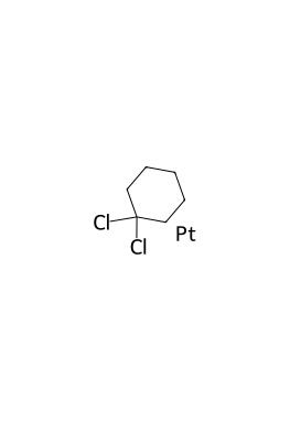 ClC1(Cl)CCCCC1.[Pt]